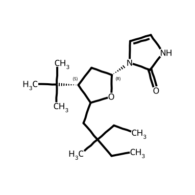 CCC(C)(CC)CC1O[C@@H](n2cc[nH]c2=O)C[C@H]1C(C)(C)C